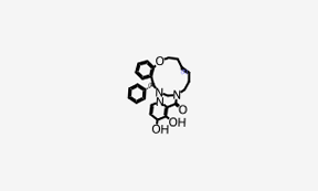 O=C1C2=C(O)C(O)C=CN2N2CN1CC/C=C/CCOc1ccccc1[C@H]2c1ccccc1